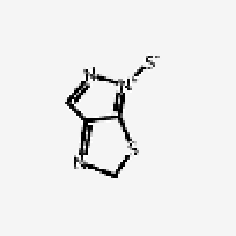 [S-][N+]1=C2SCN=C2C=N1